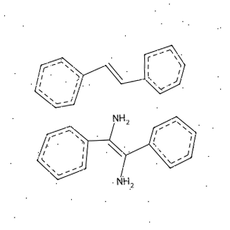 C(=Cc1ccccc1)c1ccccc1.NC(=C(N)c1ccccc1)c1ccccc1